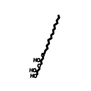 CCCCCCCCCCCCCCCCOCC(O)COCC(O)CO